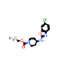 CCOC(=O)N1CCC(Nc2nc3ccc(Cl)cc3o2)CC1